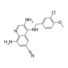 COc1ccc(CNc2c(N)cnc3c(N)cc(C#N)cc23)cc1Cl